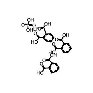 O=C(O)c1ccccc1C(=O)O.O=C(O)c1ccccc1C(=O)O.O=C(O)c1ccccc1C(=O)O.O=P([O-])(O)O.[Li+]